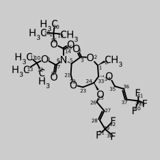 C[C@@H]1OC(=O)[C@@H](N(C(=O)OC(C)(C)C)C(=O)OC(C)(C)C)COC[C@H](OC/C=C/C(F)(F)F)[C@H]1OC/C=C/C(F)(F)F